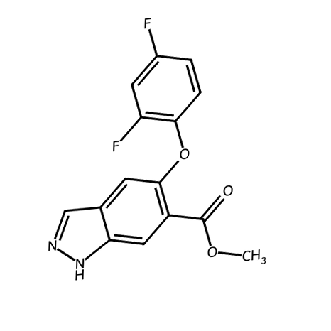 COC(=O)c1cc2[nH]ncc2cc1Oc1ccc(F)cc1F